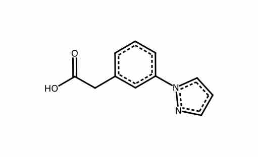 O=C(O)Cc1cccc(-n2cccn2)c1